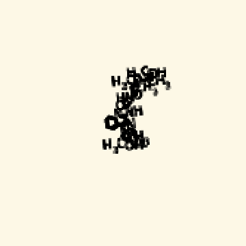 CCOCc1nc2c(NC(=O)CNC(=O)CC(C)(C)OCC(C)(C)O)nc3ccccc3c2n1CC(C)(C)O